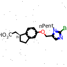 CCCCCn1c(COc2ccc3c(c2)CC[C@H]3CC(=O)O)cnc1Br